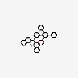 c1ccc(-c2cc(-c3ccccc3)c(-c3cccc(-c4c5ccc6ccccc6c5nc5c4ccc4ccccc45)c3)c(-c3ccccc3)c2)cc1